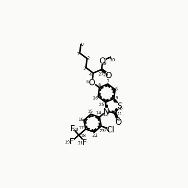 CCCCC(Oc1ccc2sc(=O)n(-c3ccc(C(F)(F)F)cc3Cl)c2c1)C(=O)OC